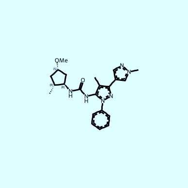 CO[C@H]1C[C@@H](C)[C@H](NC(=O)Nc2c(C)c(-c3cnn(C)c3)nn2-c2ccccc2)C1